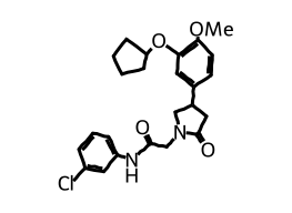 COc1ccc(C2CC(=O)N(CC(=O)Nc3cccc(Cl)c3)C2)cc1OC1CCCC1